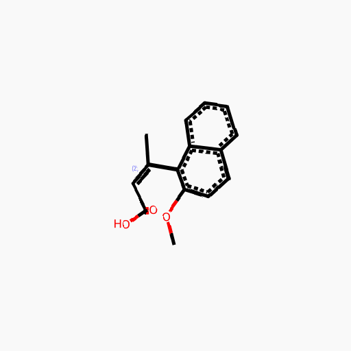 COc1ccc2ccccc2c1/C(C)=C\C(=O)O